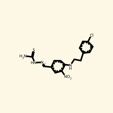 NC(=S)N/N=C/c1ccc(NCCc2ccc(Cl)cc2)c([N+](=O)[O-])c1